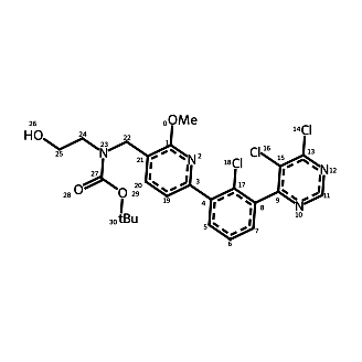 COc1nc(-c2cccc(-c3ncnc(Cl)c3Cl)c2Cl)ccc1CN(CCO)C(=O)OC(C)(C)C